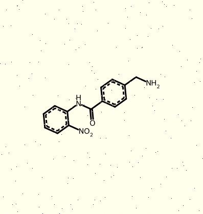 NCc1ccc(C(=O)Nc2ccccc2[N+](=O)[O-])cc1